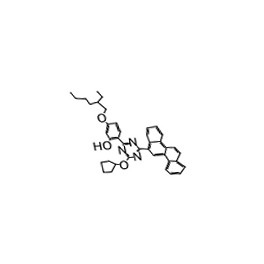 CCCCC(CC)COc1ccc(-c2nc(OC3CCCC3)nc(-c3cc4c5ccccc5ccc4c4ccccc34)n2)c(O)c1